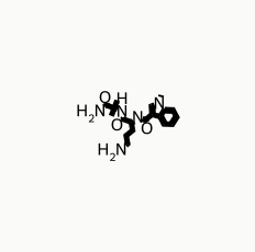 Cn1cc(C(=O)/N=C(\CCCN)C(=O)NC(C)(C)C(N)=O)c2ccccc21